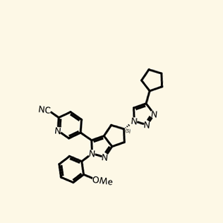 COc1ccccc1-n1nc2c(c1-c1ccc(C#N)nc1)C[C@H](n1cc(C3CCCC3)nn1)C2